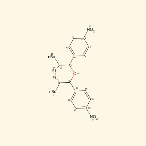 CCCCC(CC)C(OC(c1ccc([N+](=O)[O-])cc1)C(CC)CCCC)c1ccc([N+](=O)[O-])cc1